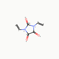 C=CN1C(=O)C(=O)N(C=C)C1=O